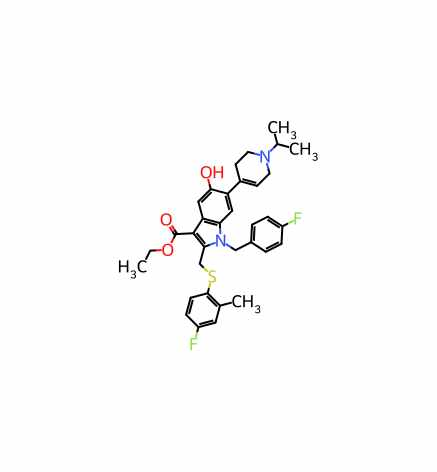 CCOC(=O)c1c(CSc2ccc(F)cc2C)n(Cc2ccc(F)cc2)c2cc(C3=CCN(C(C)C)CC3)c(O)cc12